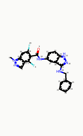 Cn1ncc2c(F)c(C(=O)Nc3ccc4[nH]nc(NCc5ccccc5)c4c3)c(F)cc21